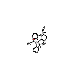 CCOc1ccccc1C1(N(C(=O)O)c2ccccc2)C(=O)Nc2ccc(C#N)cc21